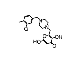 Cc1ccc(CN2CCN(Cc3oc(O)cc(=O)c3O)CC2)cc1Cl